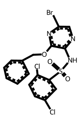 O=S(=O)(Nc1ncc(Br)nc1OCc1ccccc1)c1cc(Cl)ccc1Cl